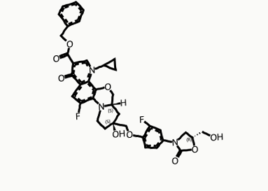 O=C(OCc1ccccc1)c1cn(C2CC2)c2c3c(c(F)cc2c1=O)N1CC[C@@](O)(COc2ccc(N4C[C@H](CO)OC4=O)cc2F)C[C@H]1CO3